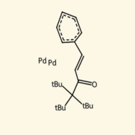 CC(C)(C)C(C(=O)C=Cc1ccccc1)(C(C)(C)C)C(C)(C)C.[Pd].[Pd]